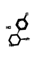 CCC[C@H]1CNCC[C@@H]1c1ccc(Cl)cc1.Cl